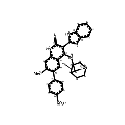 COc1cc2[nH]c(=O)c(-c3nc4ccccc4[nH]3)c(N[C@H]3CN4CCC3CC4)c2cc1-c1ccc(C(=O)O)cc1